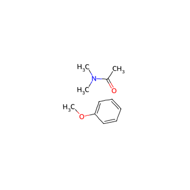 CC(=O)N(C)C.COc1ccccc1